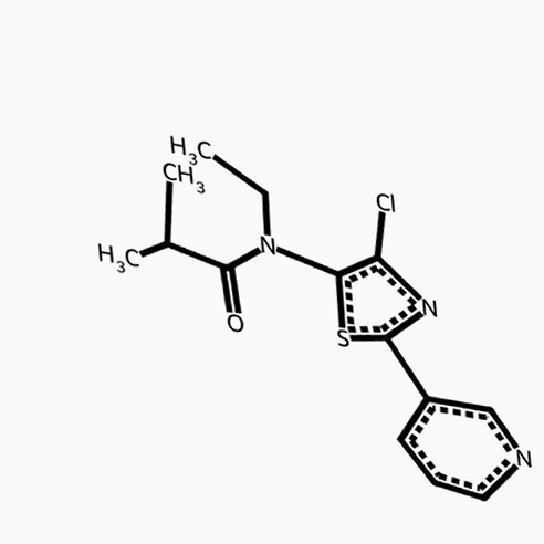 CCN(C(=O)C(C)C)c1sc(-c2cccnc2)nc1Cl